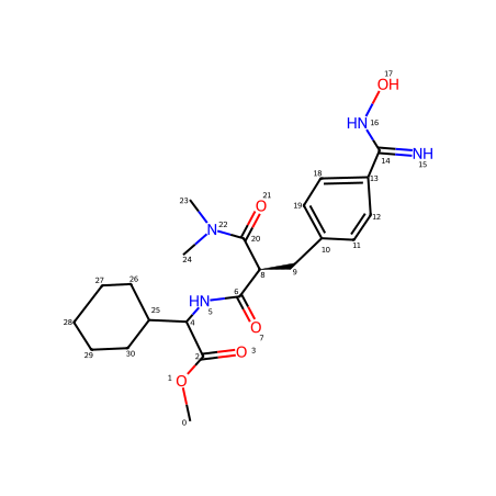 COC(=O)C(NC(=O)[C@H](Cc1ccc(C(=N)NO)cc1)C(=O)N(C)C)C1CCCCC1